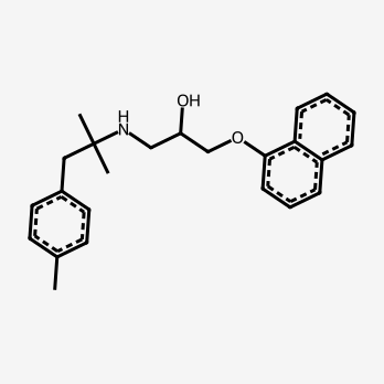 Cc1ccc(CC(C)(C)NCC(O)COc2cccc3ccccc23)cc1